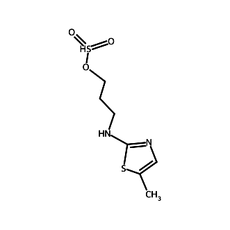 Cc1cnc(NCCCO[SH](=O)=O)s1